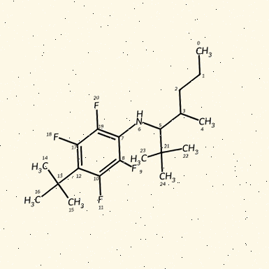 CCCC(C)C(Nc1c(F)c(F)c(C(C)(C)C)c(F)c1F)C(C)(C)C